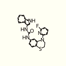 O=C(Nc1ccc2c(c1)N(c1cccc(F)n1)CCS2)Nc1c[nH]c2ccccc12